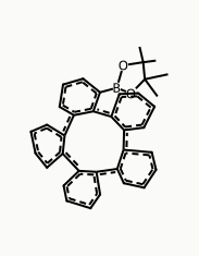 CC1(C)OB(c2cccc3c4ccccc4c4ccccc4c4ccccc4c4ccccc4c23)OC1(C)C